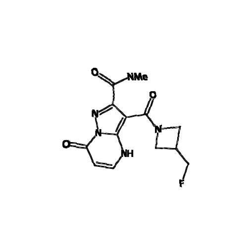 CNC(=O)c1nn2c(=O)cc[nH]c2c1C(=O)N1CC(CF)C1